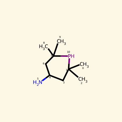 CC1(C)CC(N)CC(C)(C)P1